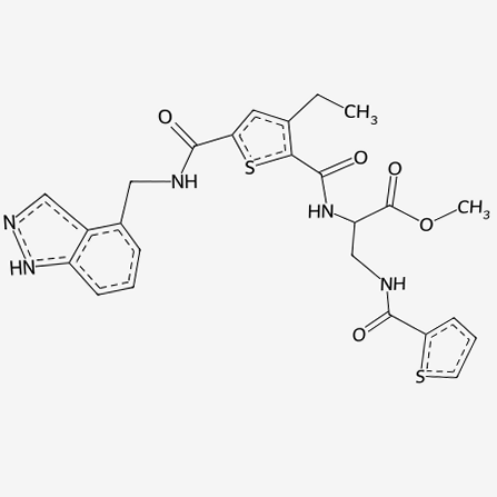 CCc1cc(C(=O)NCc2cccc3[nH]ncc23)sc1C(=O)NC(CNC(=O)c1cccs1)C(=O)OC